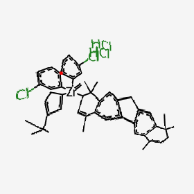 Cl.Cl.[CH2]=[Zr]([C]1=CC(C(C)(C)C)=CC1)([c]1cccc(Cl)c1)([c]1cccc(Cl)c1)[CH]1C=C(C)c2cc3c(cc2C1(C)C)Cc1cc2c(cc1-3)C(C)=CCC2(C)C